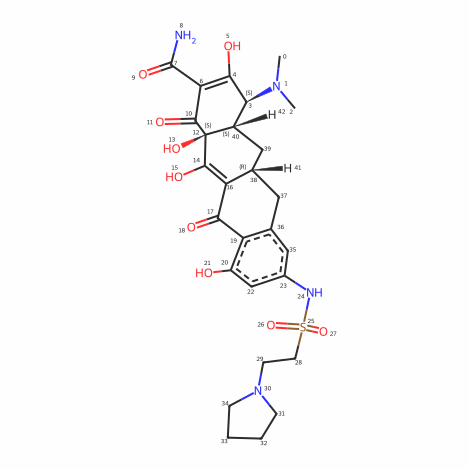 CN(C)[C@@H]1C(O)=C(C(N)=O)C(=O)[C@@]2(O)C(O)=C3C(=O)c4c(O)cc(NS(=O)(=O)CCN5CCCC5)cc4C[C@H]3C[C@@H]12